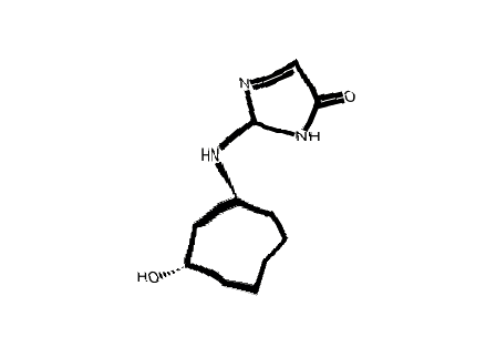 O=C1C=NC(N[C@H]2CCCC[C@H](O)C2)N1